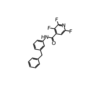 O=C(Nc1cccc(Cc2ccccc2)c1)c1cc(F)nc(F)c1F